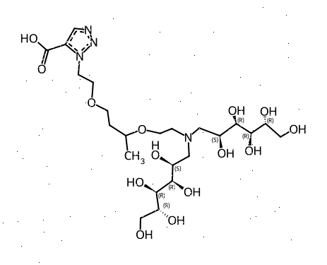 CC(CCOCCn1nncc1C(=O)O)OCCN(C[C@H](O)[C@@H](O)[C@H](O)[C@H](O)CO)C[C@H](O)[C@@H](O)[C@H](O)[C@H](O)CO